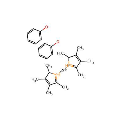 CC1=C(C)C(C)[PH]([Zr+2][PH]2=C(C)C(C)=C(C)C2C)=C1C.[O-]c1ccccc1.[O-]c1ccccc1